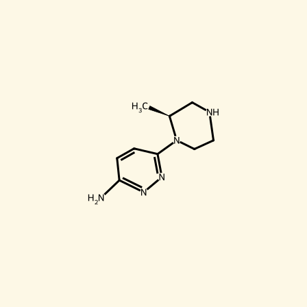 C[C@H]1CNCCN1c1ccc(N)nn1